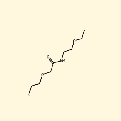 [CH2]CCOCC(=O)NCCOCC